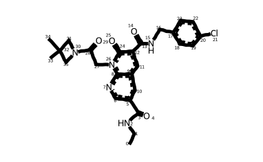 CCNC(=O)c1cnc2c(c1)cc(C(=O)NCc1ccc(Cl)cc1)c(=O)n2CC(=O)N1CC(C)(C)C1